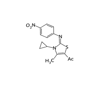 CC(=O)c1sc(=Nc2ccc([N+](=O)[O-])cc2)n(C2CC2)c1C